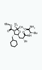 CC[C@H](C)[C@H](NC(=O)[C@@H](C[C@@H]1OC(C)(C)N(C(=O)OC(C)(C)C)[C@H]1CC1CCCCC1)C(C)C)C(N)=O